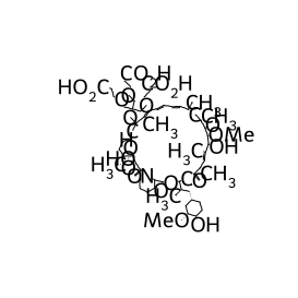 CO[C@@H]1C[C@H](C[C@@H](C)[C@@H]2CC(=O)[C@H](C)/C=C(\C)[C@@H](O)[C@@H](OC)C(=O)[C@H](C)C[C@H](C)/C=C/C=C/C=C(\C)C(OC(COCCC(=O)O)(COCCC(=O)O)COCCC(=O)O)C[C@@H]3CC[C@@H](C)[C@@](O)(O3)C(=O)C(=O)N3CCCCC3C(=O)O2)CC[C@H]1O